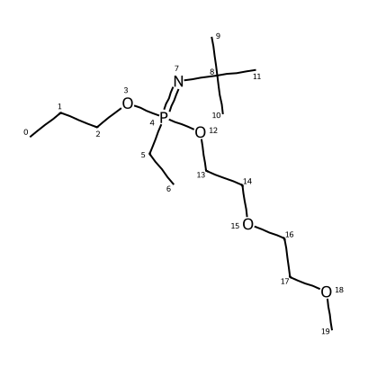 CCCOP(CC)(=NC(C)(C)C)OCCOCCOC